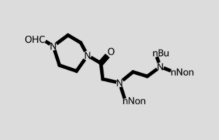 CCCCCCCCCN(CCCC)CCN(CCCCCCCCC)CC(=O)N1CCN(C=O)CC1